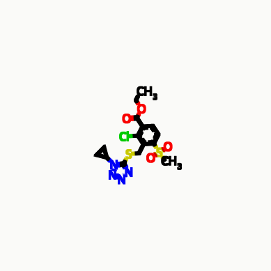 CCOC(=O)c1ccc(S(C)(=O)=O)c(CSc2nnnn2C2CC2)c1Cl